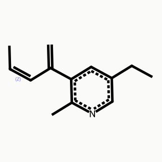 C=C(/C=C\C)c1cc(CC)cnc1C